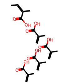 C=C(C)C(=O)O.C=C(C)C(=O)O.C=C(C)C(=O)O.C=C(C)C(=O)O.CC=C(C)C(=O)O